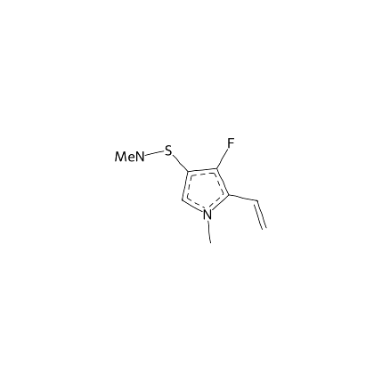 C=Cc1c(F)c(SNC)cn1C